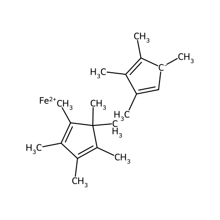 CC1=C(C)C(C)(C)C(C)=C1C.Cc1c[c-](C)c(C)c1C.[Fe+2]